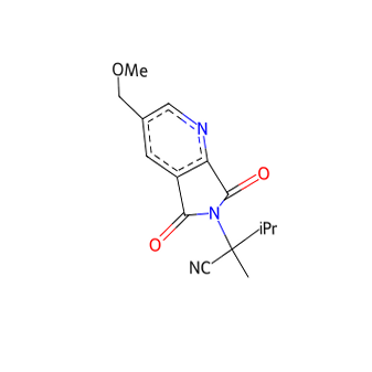 COCc1cnc2c(c1)C(=O)N(C(C)(C#N)C(C)C)C2=O